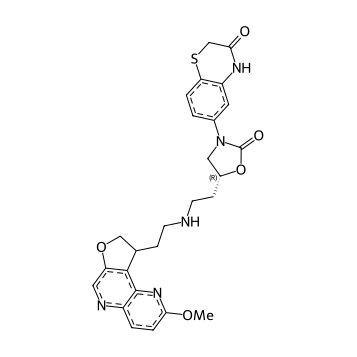 COc1ccc2ncc3c(c2n1)C(CCNCC[C@@H]1CN(c2ccc4c(c2)NC(=O)CS4)C(=O)O1)CO3